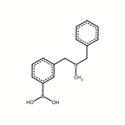 CN(Cc1ccccc1)Cc1cccc(B(O)O)c1